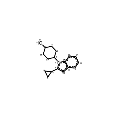 OC1CCC(n2c(C3CC3)cc3ccccc32)CC1